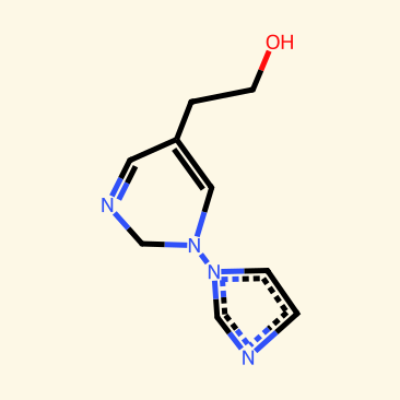 OCCC1=CN(n2ccnc2)CN=C1